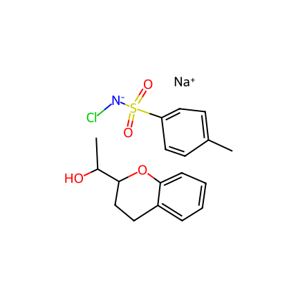 CC(O)C1CCc2ccccc2O1.Cc1ccc(S(=O)(=O)[N-]Cl)cc1.[Na+]